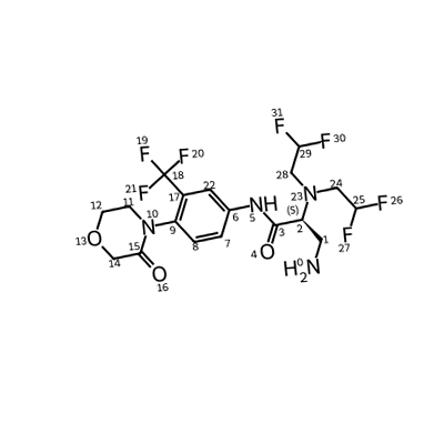 NC[C@@H](C(=O)Nc1ccc(N2CCOCC2=O)c(C(F)(F)F)c1)N(CC(F)F)CC(F)F